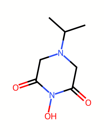 CC(C)N1CC(=O)N(O)C(=O)C1